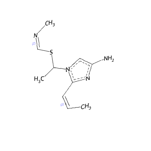 C/C=C\c1nc(N)cn1C(C)S/C=N\C